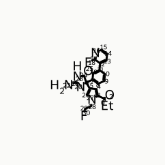 CCC(=O)c1cc(C2(c3cccc(-c4cccnc4F)c3)N=C(N)NC2=O)cn1CCF